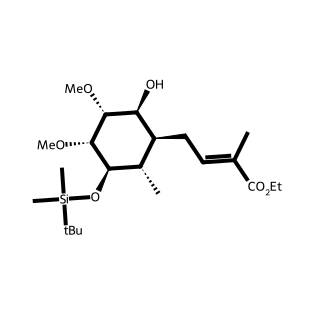 CCOC(=O)/C(C)=C/C[C@H]1[C@H](C)[C@@H](O[Si](C)(C)C(C)(C)C)[C@H](OC)[C@H](OC)[C@H]1O